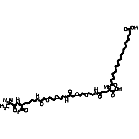 CC(N)C(=O)NC(CCCCNC(=O)COCCOCCNC(=O)COCCOCCNC(=O)CCC(NC(=O)CCCCCCCCCCCCCCCCC(=O)O)C(=O)O)C(=O)F